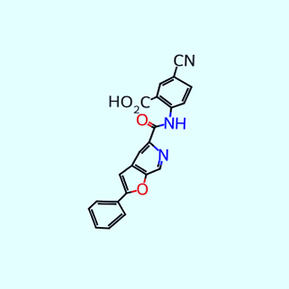 N#Cc1ccc(NC(=O)c2cc3cc(-c4ccccc4)oc3cn2)c(C(=O)O)c1